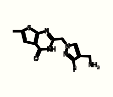 Cc1cc2c(=O)[nH]c(Cn3cc(CN)c(F)n3)nc2s1